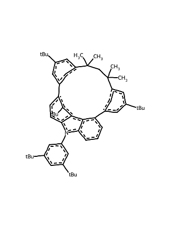 CC(C)(C)c1cc(-n2c3cccc4c3c3c(C(C)(C)C)c(ccc32)-c2cc(C(C)(C)C)cc(c2)C(C)(C)CC(C)(C)c2cc-4cc(C(C)(C)C)c2)cc(C(C)(C)C)c1